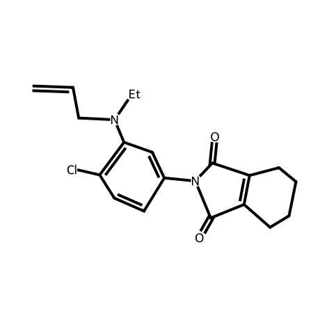 C=CCN(CC)c1cc(N2C(=O)C3=C(CCCC3)C2=O)ccc1Cl